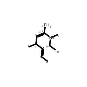 CC=CC(C)/C=C(/P)N(C)CI